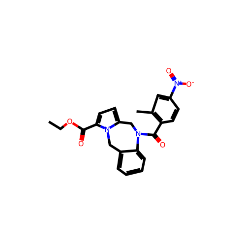 CCOC(=O)c1ccc2n1Cc1ccccc1N(C(=O)c1ccc([N+](=O)[O-])cc1C)C2